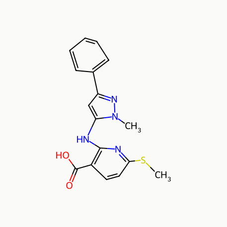 CSc1ccc(C(=O)O)c(Nc2cc(-c3ccccc3)nn2C)n1